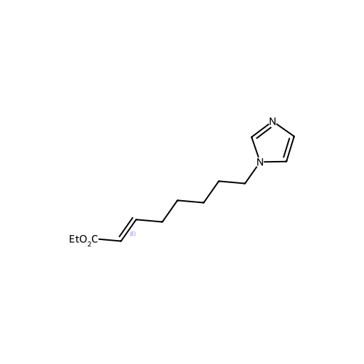 CCOC(=O)/C=C/CCCCCn1ccnc1